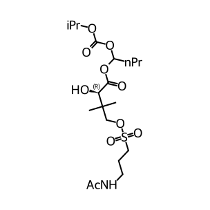 CCCC(OC(=O)OC(C)C)OC(=O)[C@H](O)C(C)(C)COS(=O)(=O)CCCNC(C)=O